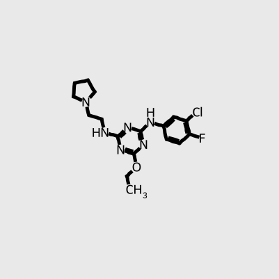 CCOc1nc(NCCN2CCCC2)nc(Nc2ccc(F)c(Cl)c2)n1